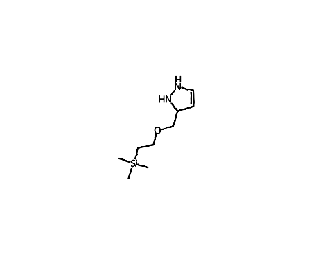 C[Si](C)(C)CCOCC1C=CNN1